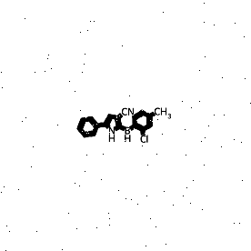 Cc1ccc(Bc2[nH]c(-c3ccccc3)cc2C#N)c(Cl)c1